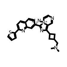 CN(C)CC1CC(C2=C3C=NC=C[N+]3(N)C(c3ccc4ccc(-c5cccs5)nc4c3)=N2)C1